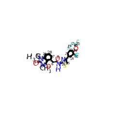 Cn1c(=O)c2c(CC(=O)Nc3nc(-c4cc(F)c(OC(F)F)c(F)c4)cs3)cccc2n(C)c1=O